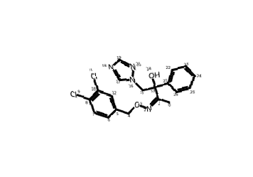 CC(=NOCc1ccc(Cl)c(Cl)c1)C(O)(Cn1cncn1)c1ccccc1